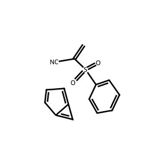 C=C(C#N)S(=O)(=O)c1ccccc1.c1cc2cc-2c1